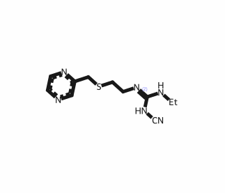 CCN/C(=N/CCSCc1cnccn1)NC#N